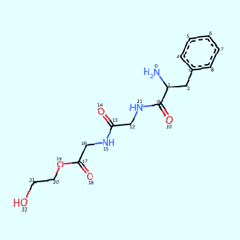 NC(Cc1ccccc1)C(=O)NCC(=O)NCC(=O)OCCO